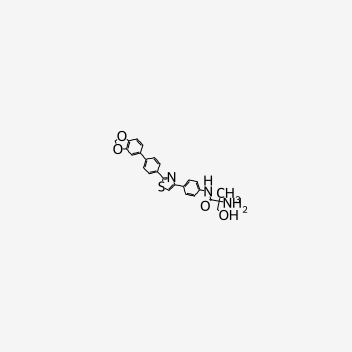 CC(N)(CO)C(=O)Nc1ccc(-c2csc(-c3ccc(-c4ccc5c(c4)OCO5)cc3)n2)cc1